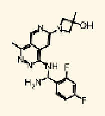 Cc1nnc(N[C@H](N)c2ccc(F)cc2F)c2cc(N3CC(C)(O)C3)ncc12